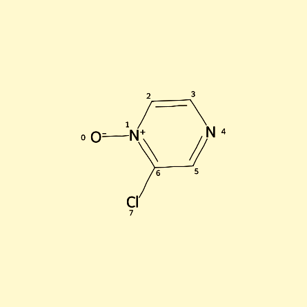 [O-][n+]1ccncc1Cl